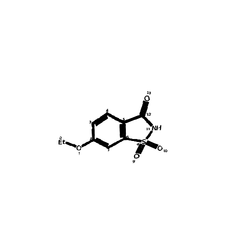 CCOc1ccc2c(c1)S(=O)(=O)NC2=O